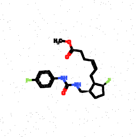 COC(=O)CC/C=C\C[C@@H]1[C@@H](CNC(=O)Nc2ccc(F)cc2)CC[C@H]1F